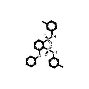 Cc1cccc(NS(=O)(=O)c2[c]ccc(Oc3cc[c]cc3)c2S(=O)(=O)Nc2cccc(C)c2)c1